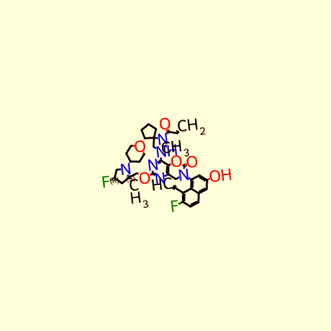 C#Cc1c(F)ccc2cc(O)cc(N3Cc4nc(OC[C@]5(C)C[C@@H](F)CN5C5CCOCC5)nc(NCC5(N(C)C(=O)C=C)CCCC5)c4OC3=O)c12